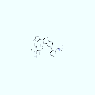 O/N=C/c1ncccc1-c1ccc2ncc(C3=CC(F)=CC3)c(N3CC[C@H]4NCCO[C@@H]4C3)c2c1